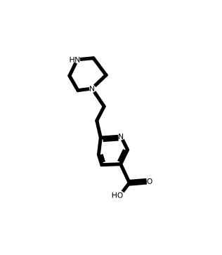 O=C(O)c1ccc(CCN2CCNCC2)nc1